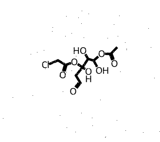 CC(=O)OC(O)C(O)C(O)(CC=O)OC(=O)CCl